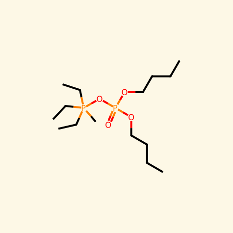 CCCCOP(=O)(OCCCC)OP(C)(CC)(CC)CC